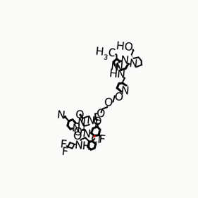 CCc1cnn2c(NCc3ccc(OCCOCCOCC(=O)N4CC(=O)N(c5cc(C#N)ccn5)[C@H](C(=O)N(c5cc(F)cc(F)c5)[C@H](C(=O)NC5CC(F)(F)C5)c5ccccc5Cl)C4)nc3)cc(N3CCCC[C@H]3CCO)nc12